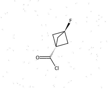 O=C(Cl)[C@]12C[C@@](F)(C1)C2